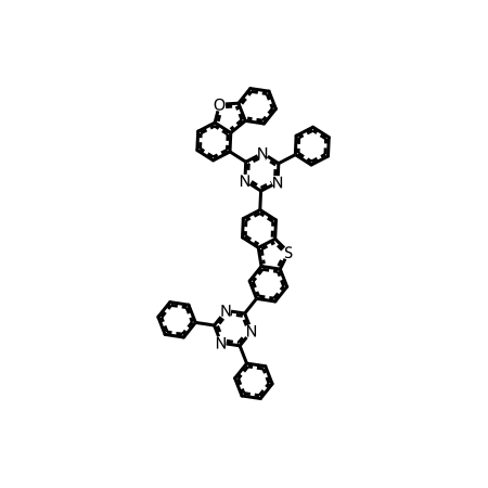 c1ccc(-c2nc(-c3ccccc3)nc(-c3ccc4sc5cc(-c6nc(-c7ccccc7)nc(-c7cccc8oc9ccccc9c78)n6)ccc5c4c3)n2)cc1